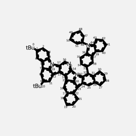 CC(C)(C)c1ccc2c(c1)c1cc(C(C)(C)C)cc3c4c5c6cc7ccccc7c7c8cc9ccccc9c(-c9ccc%10c(c9)c9ccccc9n%10-c9ccccc9)c8n(c5ncc4n2c13)c67